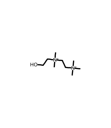 C[N+](C)(C)CC[N+](C)(C)CCO